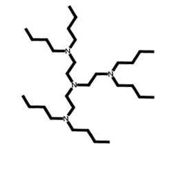 CCCCN(CCCC)CCN(CCN(CCCC)CCCC)CCN(CCCC)CCCC